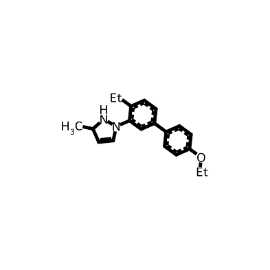 CCOc1ccc(-c2ccc(CC)c(N3C=CC(C)N3)c2)cc1